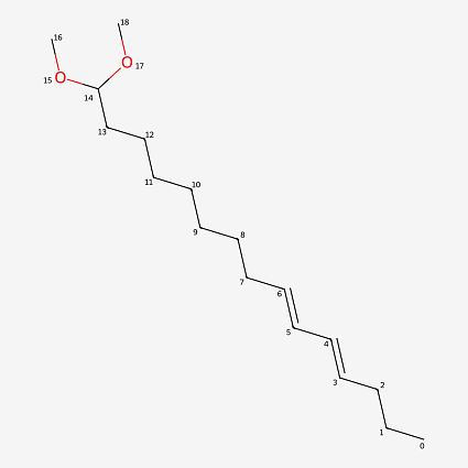 CCCC=CC=CCCCCCCCC(OC)OC